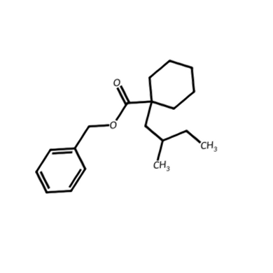 CCC(C)CC1(C(=O)OCc2ccccc2)CCCCC1